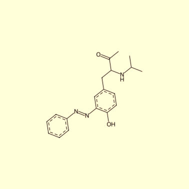 CC(=O)C(Cc1ccc(O)c(N=Nc2ccccc2)c1)NC(C)C